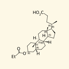 CCC(=O)O[C@@H]1CC[C@@]2(C)[C@H](CC[C@@H]3[C@@H]2CC[C@]2(C)[C@@H]([C@H](C)CCC(=O)O)CC[C@@H]32)C1